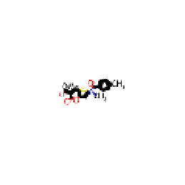 COC(=O)c1cc2sc(N(C)C(=O)c3ccc(C)cc3)cc2oc1=O